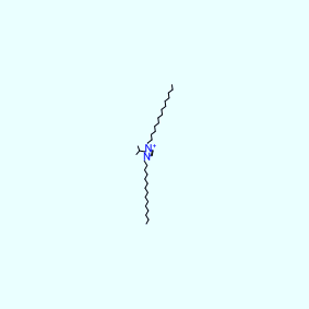 CCCCCCCCCCCCCCCn1cc[n+](CCCCCCCCCCCCCCC)c1C(C)C